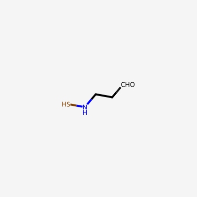 O=CCCNS